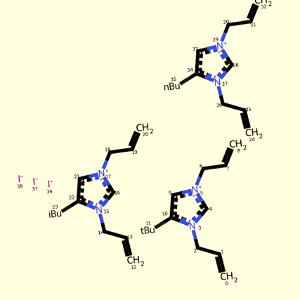 C=CCn1c[n+](CC=C)cc1C(C)(C)C.C=CCn1c[n+](CC=C)cc1C(C)CC.C=CCn1c[n+](CC=C)cc1CCCC.[I-].[I-].[I-]